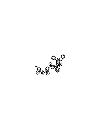 C=CCOC(=O)N1CCC(C(=O)N2CCC(C(=O)OCOc3c(Cc4ccco4)nc4c(Cc5ccccc5)nc(-c5ccccc5)cn34)C2)C1